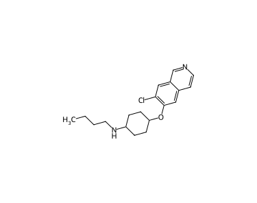 CCCCNC1CCC(Oc2cc3ccncc3cc2Cl)CC1